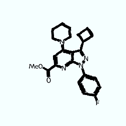 COC(=O)c1cc(N2CCCCC2)c2c(C3CCC3)nn(-c3ccc(F)cc3)c2n1